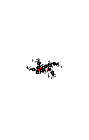 CC(=O)c1ccc(Oc2cccc(Oc3cc4c(cc3Oc3cccc(Oc5ccc(C(C)=O)cc5)c3C#N)C3(CC4(C)C)CC(C)(C)c4cc(Oc5cccc(Oc6ccc(C(C)=O)cc6)c5C#N)c(Oc5cccc(Oc6ccc(C(C)=O)cc6)c5C#N)cc43)c2C#N)cc1